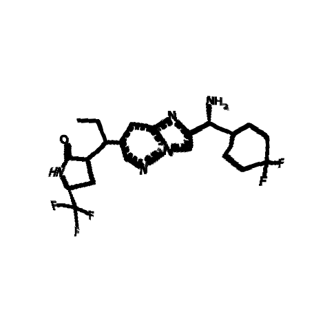 CCC(c1cnn2cc([C@@H](N)C3CCC(F)(F)CC3)nc2c1)C1C[C@@H](C(F)(F)F)NC1=O